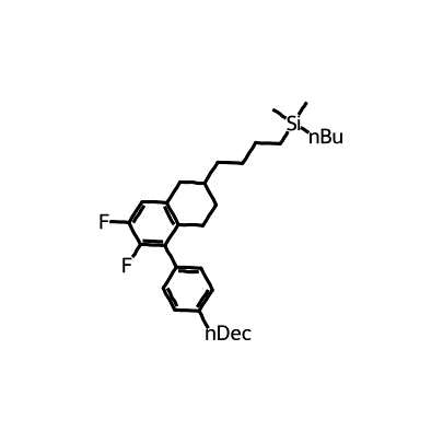 CCCCCCCCCCc1ccc(-c2c(F)c(F)cc3c2CCC(CCCC[Si](C)(C)CCCC)C3)cc1